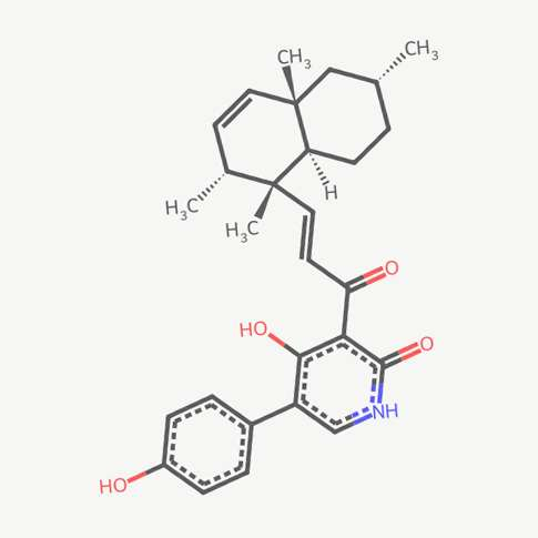 C[C@@H]1CC[C@H]2[C@](C)(C=CC(=O)c3c(O)c(-c4ccc(O)cc4)c[nH]c3=O)[C@H](C)C=C[C@]2(C)C1